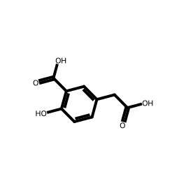 O=C(O)Cc1ccc(O)c(C(=O)O)c1